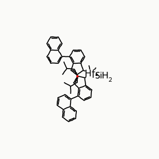 CC(C)CC1=Cc2c(-c3cccc4ccccc34)cccc2[CH]1[Hf]([CH3])([CH3])(=[SiH2])[CH]1C(CC(C)C)=Cc2c(-c3cccc4ccccc34)cccc21